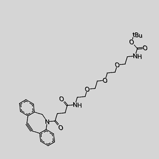 CC(C)(C)OC(=O)NCCOCCOCCOCCNC(=O)CCC(=O)N1Cc2ccccc2C#Cc2ccccc21